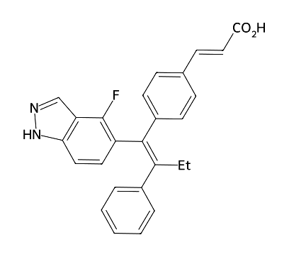 CCC(=C(c1ccc(C=CC(=O)O)cc1)c1ccc2[nH]ncc2c1F)c1ccccc1